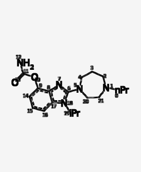 CCCN1CCCN(c2nc3c(OC(N)=O)cccc3n2C(C)C)CC1